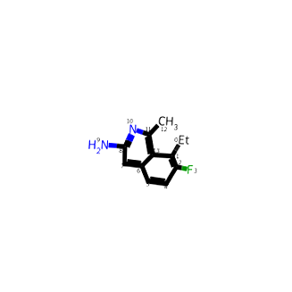 CCc1c(F)ccc2cc(N)nc(C)c12